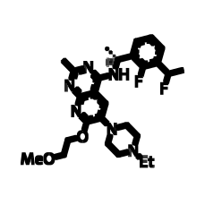 CCN1CCN(c2cc3c(N[C@H](C)c4cccc(C(C)F)c4F)nc(C)nc3nc2OCCOC)CC1